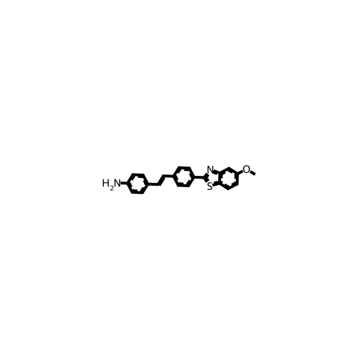 COc1ccc2sc(-c3ccc(/C=C/c4ccc(N)cc4)cc3)nc2c1